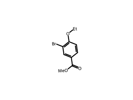 CCOc1ccc(C(=O)OC)cc1Br